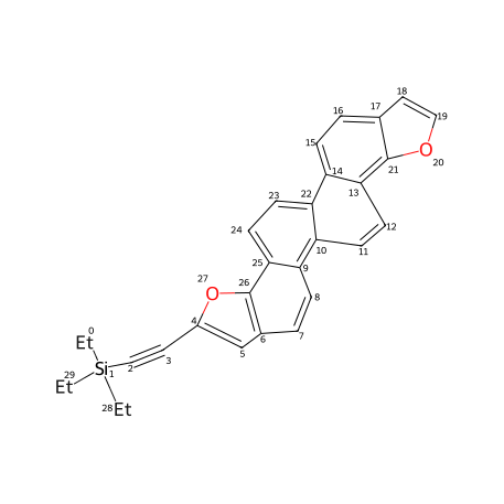 CC[Si](C#Cc1cc2ccc3c4ccc5c(ccc6ccoc65)c4ccc3c2o1)(CC)CC